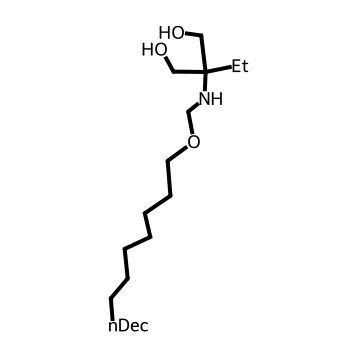 CCCCCCCCCCCCCCCCCOCNC(CC)(CO)CO